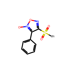 CC(C)S(=O)(=O)c1no[n+]([O-])c1-c1ccccc1